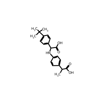 CC(C(=O)O)c1ccc(NC(C(=O)O)c2ccc(C(C)(C)C)cc2)cc1